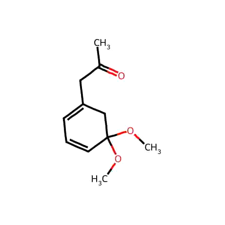 COC1(OC)C=CC=C(CC(C)=O)C1